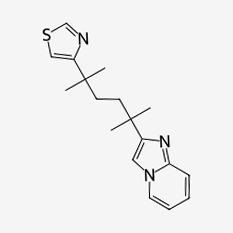 CC(C)(CCC(C)(C)c1cn2ccccc2n1)c1cscn1